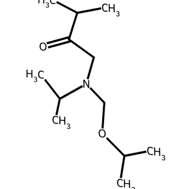 CC(C)OCN(CC(=O)C(C)C)C(C)C